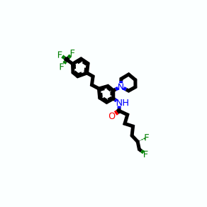 O=C(CCCC[C@H](F)CF)Nc1ccc(CCc2ccc(C(F)(F)F)cc2)cc1N1CCCCC1